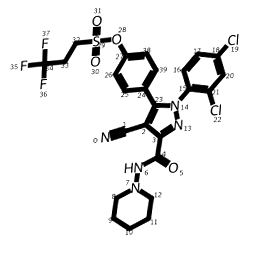 N#Cc1c(C(=O)NN2CCCCC2)nn(-c2ccc(Cl)cc2Cl)c1-c1ccc(OS(=O)(=O)CCC(F)(F)F)cc1